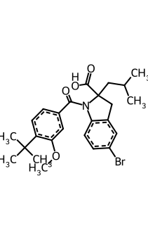 COc1cc(C(=O)N2c3ccc(Br)cc3CC2(CC(C)C)C(=O)O)ccc1C(C)(C)C